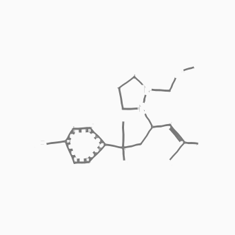 COCN1CCCN1C(C=C(C)C)CC(C)(C)c1ccc(F)cc1